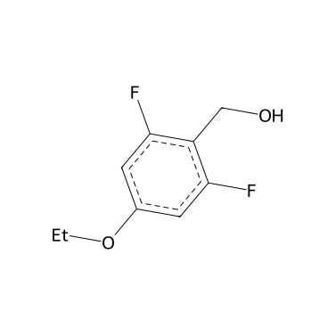 CCOc1cc(F)c(CO)c(F)c1